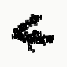 CC(NC(=O)Cn1cnnn1)[C@H]1C(=O)N2C(C(=O)O)=C(S[C@@H]3CN[C@H](C(=O)N4CCN(CCN5CCNCC5)CC4)C3)[C@H](C)[C@H]12